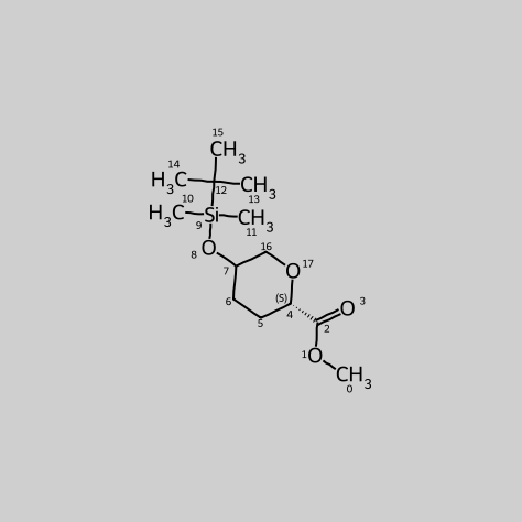 COC(=O)[C@@H]1CCC(O[Si](C)(C)C(C)(C)C)CO1